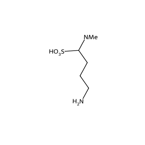 CNC(CCCN)S(=O)(=O)O